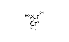 Nc1ccn(C(OCCO)C(F)(F)CO)c(=O)n1